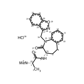 CN[C@@H](C)C(=O)N[C@H]1CCc2ccccc2N(Cc2noc3ccccc23)C1=O.Cl